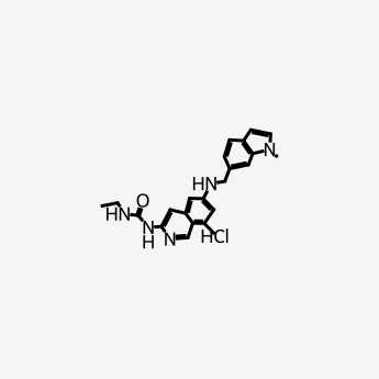 CCNC(=O)Nc1cc2cc(NCc3ccc4ccn(C)c4c3)cc(C)c2cn1.Cl